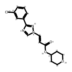 O=C(C=Cn1cnc(-c2cccc(Cl)c2)n1)OC1CCOCC1